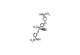 CC(=N)N1CCC(Oc2ccc(N(C)C/C=C/c3cccc(C(=N)N)c3)cc2)CC1.Cl.Cl.Cl